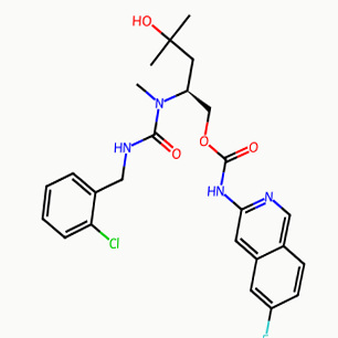 CN(C(=O)NCc1ccccc1Cl)[C@H](COC(=O)Nc1cc2cc(F)ccc2cn1)CC(C)(C)O